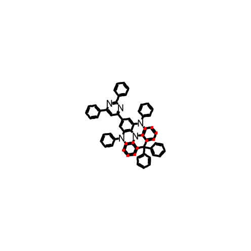 c1ccc(-c2cc(-c3cc(N(c4ccccc4)c4ccccc4)c(N4c5ccccc5C(c5ccccc5)(c5ccccc5)c5ccccc54)c(N(c4ccccc4)c4ccccc4)c3)nc(-c3ccccc3)n2)cc1